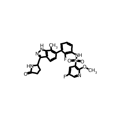 COc1ncc(F)cc1S(=O)(=O)Nc1cccc(-c2ccc3c(C4CCC(=O)N4)n[nH]c3c2C)c1F